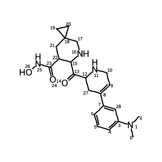 CN(C)c1cccc(C2=CCNC(C(=O)C3NCC4(CC4)CC3C(=O)NO)C2)c1